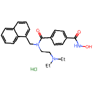 CCN(CC)CCN(Cc1cccc2ccccc12)C(=O)c1ccc(C(=O)NO)cc1.Cl